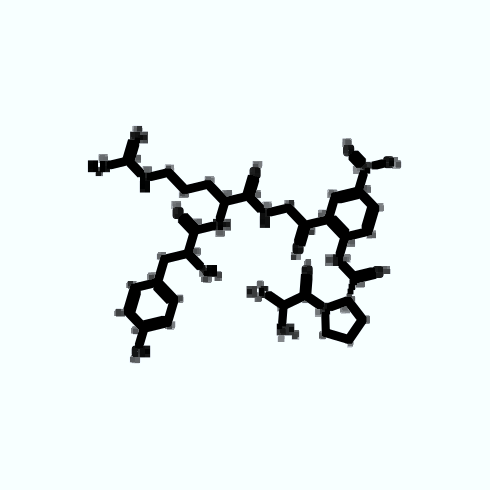 CC(N)C(=O)N1CCC[C@H]1C(=O)Nc1ccc([N+](=O)[O-])cc1C(=O)CNC(=O)C(CCCNC(=N)N)NC(=O)C(N)Cc1ccc(O)cc1